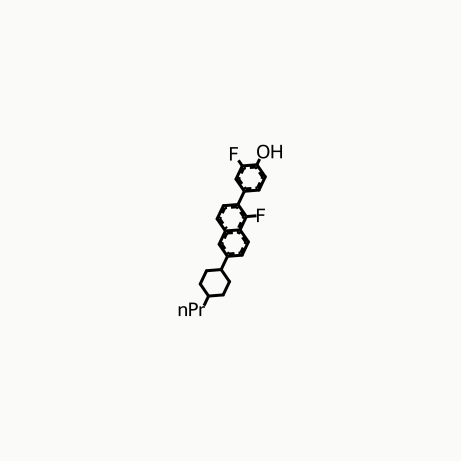 CCCC1CCC(c2ccc3c(F)c(-c4ccc(O)c(F)c4)ccc3c2)CC1